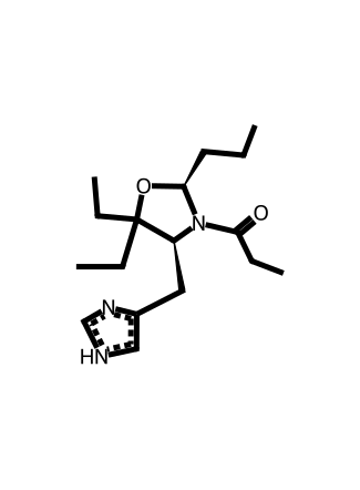 CCC[C@@H]1OC(CC)(CC)[C@H](Cc2c[nH]cn2)N1C(=O)CC